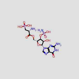 Nc1nc2c(ncn2[C@@H]2O[C@H](COC(=O)[C@@H](N)CP(=O)(O)O)[C@@H](OP(N)(=O)O)[C@H]2O)c(=O)[nH]1